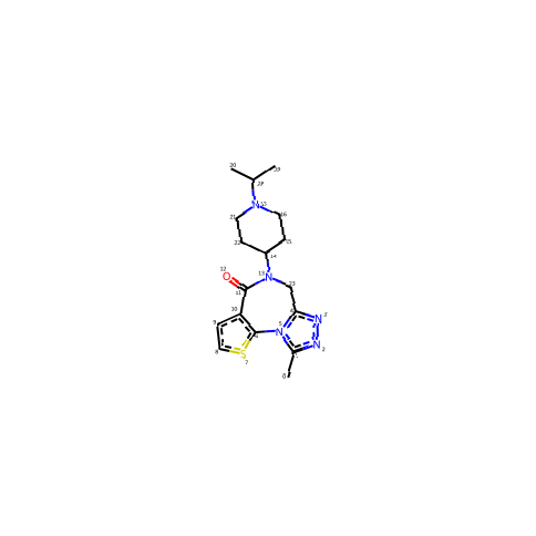 Cc1nnc2n1-c1sccc1C(=O)N(C1CCN(C(C)C)CC1)C2